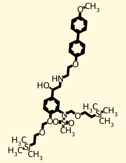 COc1ccc(-c2ccc(OCCNC[C@H](O)c3ccc(OCOCC[Si](C)(C)C)c(N(COCC[Si](C)(C)C)S(C)(=O)=O)c3)cc2)cc1